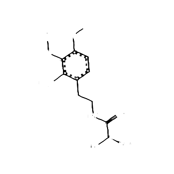 CCOc1ccc(CCNC(=O)[C@@H](NC(C)=O)C(C)CC)c(C(=O)O)c1OCC